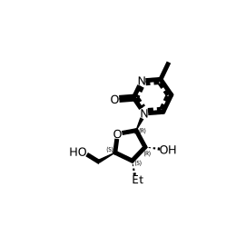 CC[C@H]1[C@@H](O)[C@H](n2ccc(C)nc2=O)O[C@@H]1CO